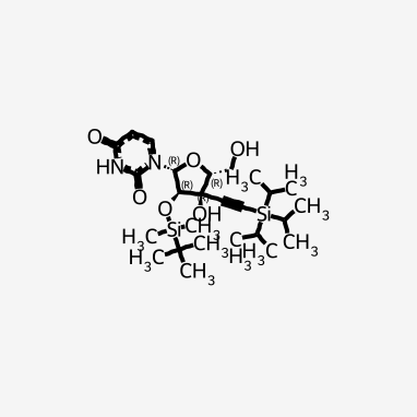 CC(C)[Si](C#C[C@@]1(O)[C@@H](CO)O[C@@H](n2ccc(=O)[nH]c2=O)[C@@H]1O[Si](C)(C)C(C)(C)C)(C(C)C)C(C)C